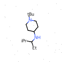 CCC(NC1CCN(C(C)(C)C)CC1)C(C)C